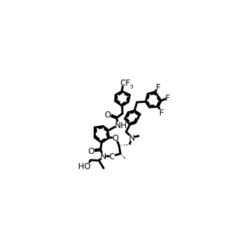 CC(CO)N1C[C@@H](C)[C@@H](CN(C)Cc2ccc(Cc3cc(F)c(F)c(F)c3)cc2)Oc2c(NC(=O)Cc3ccc(C(F)(F)F)cc3)cccc2C1=O